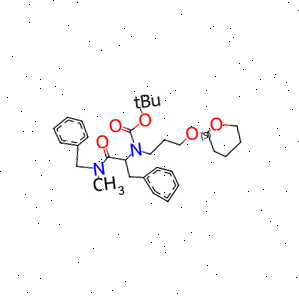 CN(Cc1ccccc1)C(=O)C(Cc1ccccc1)N(CCCO[C@H]1CCCCO1)C(=O)OC(C)(C)C